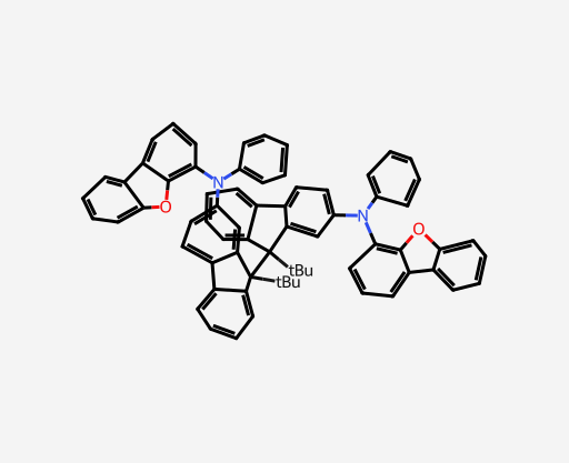 CC(C)(C)C1(C2(C(C)(C)C)c3ccccc3-c3ccc(N(c4ccccc4)c4cccc5c4oc4ccccc45)cc32)c2ccccc2-c2ccc(N(c3ccccc3)c3cccc4c3oc3ccccc34)cc21